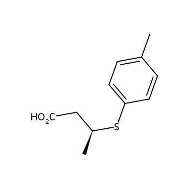 Cc1ccc(S[C@@H](C)CC(=O)O)cc1